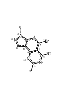 Cc1nc(Cl)c2c(Br)cc3c(cnn3C)c2n1